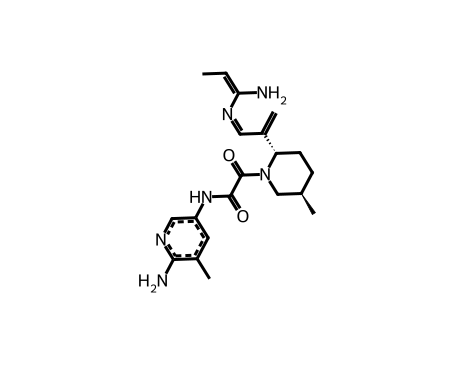 C=C(/C=N\C(N)=C/C)[C@@H]1CC[C@@H](C)CN1C(=O)C(=O)Nc1cnc(N)c(C)c1